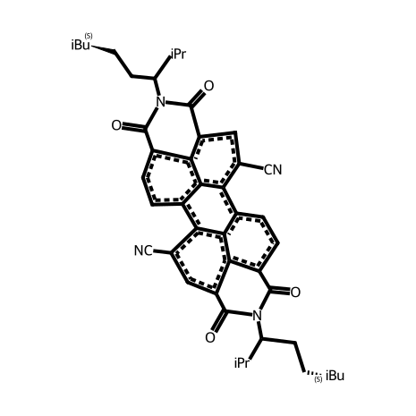 CC[C@H](C)CCC(C(C)C)N1C(=O)c2ccc3c4c(C#N)cc5c6c(ccc(c7c(C#N)cc(c2c37)C1=O)c64)C(=O)N(C(CC[C@@H](C)CC)C(C)C)C5=O